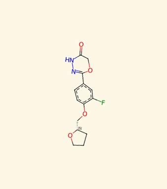 O=C1COC(c2ccc(OC[C@@H]3CCCO3)c(F)c2)=NN1